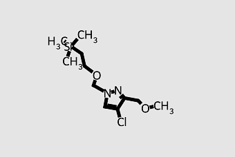 COCc1nn(COCC[Si](C)(C)C)cc1Cl